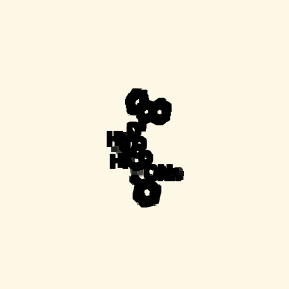 COC(=O)[C@H](Cc1ccccc1)NC(=O)[C@H](C)NC(=O)OCC1c2ccccc2-c2ccccc21